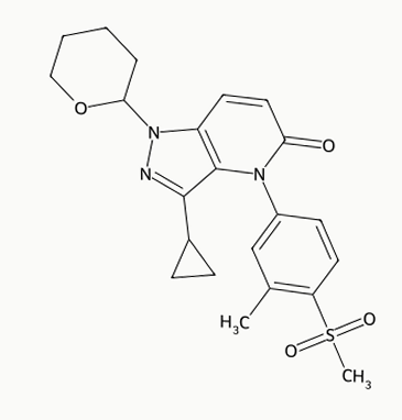 Cc1cc(-n2c(=O)ccc3c2c(C2CC2)nn3C2CCCCO2)ccc1S(C)(=O)=O